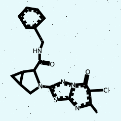 Cc1nc2sc(N3CC4CC4C3C(=O)NCc3ccccc3)nn2c(=O)c1Cl